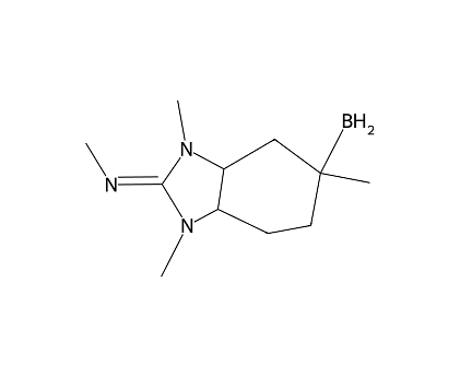 BC1(C)CCC2C(C1)N(C)/C(=N\C)N2C